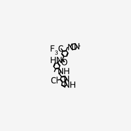 Cc1ccc(NC(=O)c2ccc(CN3CCN(C)CC3)c(C(F)(F)F)c2)cc1NCc1cnc2[nH]ccc2c1Cl